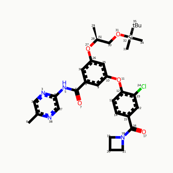 Cc1cnc(NC(=O)c2cc(Oc3ccc(C(=O)N4CCC4)cc3Cl)cc(O[C@@H](C)CO[Si](C)(C)C(C)(C)C)c2)cn1